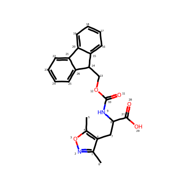 Cc1noc(C)c1CC(NC(=O)OCC1c2ccccc2-c2ccccc21)C(=O)O